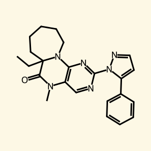 CCC12CCCCCN1c1nc(-n3nccc3-c3ccccc3)ncc1N(C)C2=O